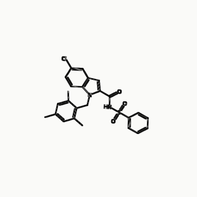 Cc1cc(C)c(Cn2c(C(=O)NS(=O)(=O)c3ccccc3)cc3cc(Cl)ccc32)c(C)c1